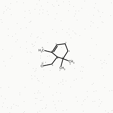 CC1=CCCC(C)(C)C1CCl